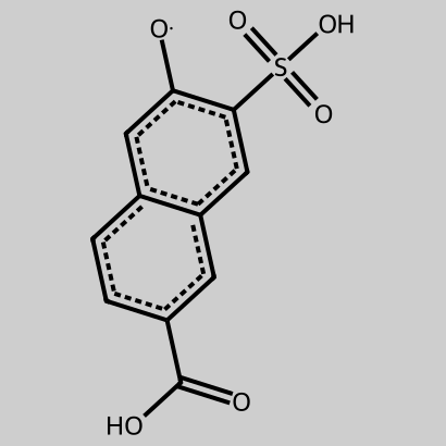 [O]c1cc2ccc(C(=O)O)cc2cc1S(=O)(=O)O